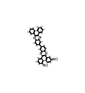 O=Nc1cccc(-c2nc3ccc(-c4ccc5nc(-c6ccccc6)c(-c6ccccc6)nc5c4)cc3nc2-c2cccc(N=O)c2)c1